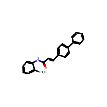 O=C(C=Cc1ccc(-c2ccccc2)cc1)Nc1ccccc1C(=O)O